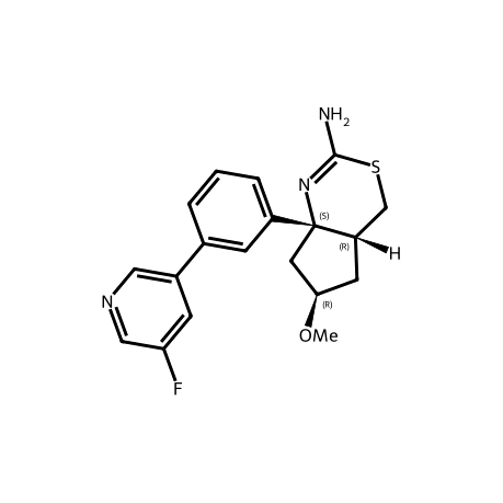 CO[C@@H]1C[C@H]2CSC(N)=N[C@@]2(c2cccc(-c3cncc(F)c3)c2)C1